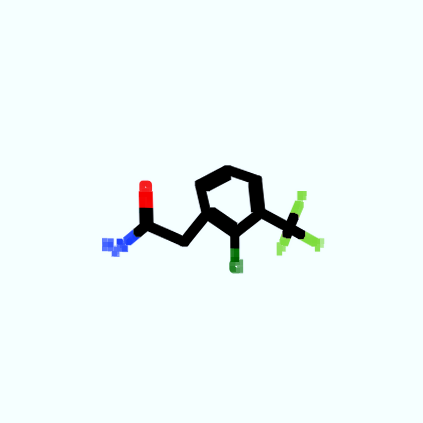 NC(=O)Cc1cccc(C(F)(F)F)c1Cl